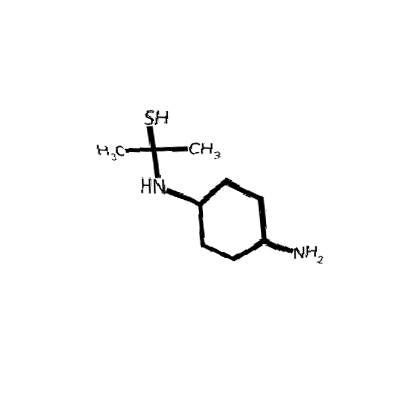 CC(C)(S)NC1CCC(N)CC1